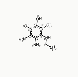 CCNc1c(N)c(N)[n+]([O-])c(O)[n+]1[O-]